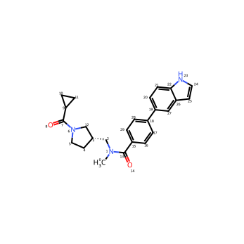 CN(C[C@@H]1CCN(C(=O)C2CC2)C1)C(=O)c1ccc(-c2ccc3[nH]ccc3c2)cc1